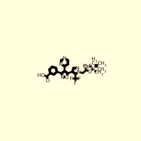 CC(Cn1ncc(-c2onc(-c3cccc(C(=O)O)c3)c2-c2ccncn2)c1C(F)(F)F)O[Si](C)(C)C(C)(C)C